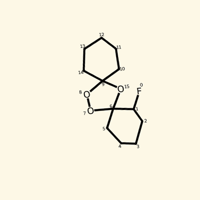 FC1CCCCC12OOC1(CCCCC1)O2